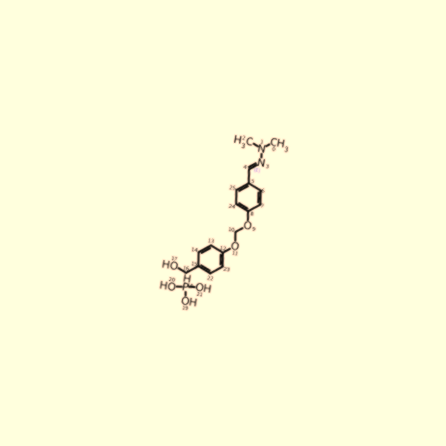 CN(C)/N=C/c1ccc(OCOc2ccc(C(O)[PH](O)(O)O)cc2)cc1